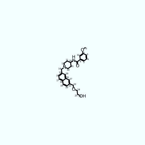 COc1cccc(C(=O)NC2CCN(Cc3ccc4ccc(COCCO)cc4c3)CC2)c1